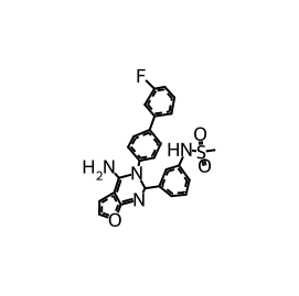 CS(=O)(=O)Nc1cccc(C2N=c3occc3=C(N)N2c2ccc(-c3cccc(F)c3)cc2)c1